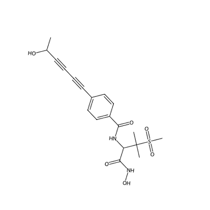 CC(O)C#CC#Cc1ccc(C(=O)NC(C(=O)NO)C(C)(C)S(C)(=O)=O)cc1